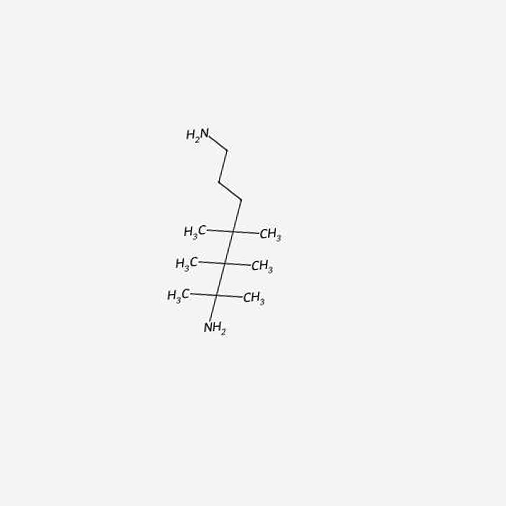 CC(C)(N)C(C)(C)C(C)(C)CCCN